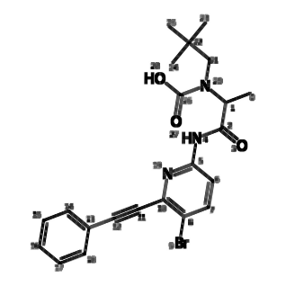 CC(C(=O)Nc1ccc(Br)c(C#Cc2ccccc2)n1)N(CC(C)(C)C)C(=O)O